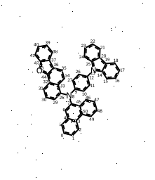 c1ccc2c(c1)cc(N(c1ccc(-n3c4ccccc4c4ccccc43)cc1)c1cccc3c1ccc1c4ccccc4oc31)c1ccccc12